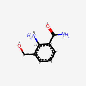 NC(=O)c1cccc(C[O])c1N